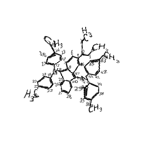 CCC(CC)c1ccc2c(N(c3ccc(C)cc3)c3ccc(C)cc3)c3ccccc3c(N(c3ccc(C)cc3)c3ccc(C)cc3)c2c1